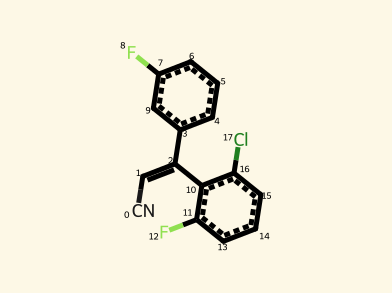 N#C/C=C(/c1cccc(F)c1)c1c(F)cccc1Cl